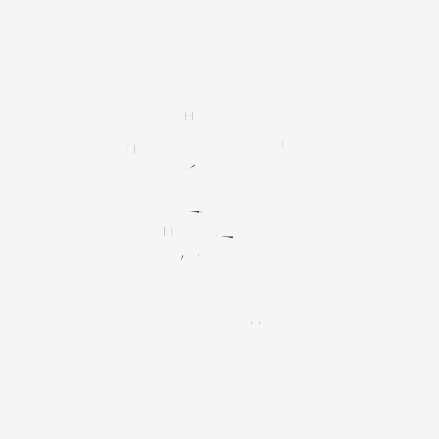 CC(=O)O[C@]1(C(C)=O)CC[C@H]2[C@@H]3C=C(C)C4=CC(=O)CC[C@]4(C)[C@H]3CC[C@@]21C.COc1ccccc1